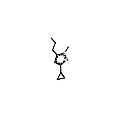 CCCc1cc(C2CC2)nn1C